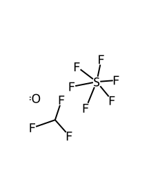 FC(F)F.FS(F)(F)(F)(F)F.[O]